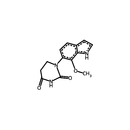 COc1c(N2CCC(=O)NC2=O)ccc2cc[nH]c12